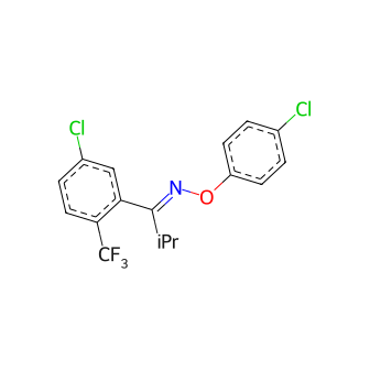 CC(C)/C(=N\Oc1ccc(Cl)cc1)c1cc(Cl)ccc1C(F)(F)F